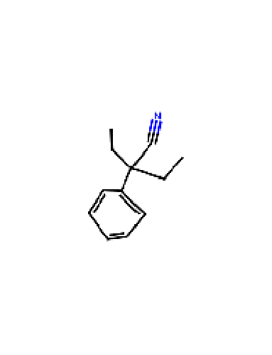 CCC(C#N)(CC)c1cc[c]cc1